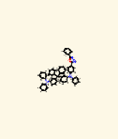 c1ccc(-c2nnc(-c3ccc(N(c4ccccc4)c4ccc5c(c4)C4(c6ccccc6-c6ccccc64)c4cc(N(c6ccccc6)c6ccccc6)ccc4-5)cc3)o2)cc1